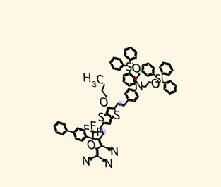 CCCCOc1c(/C=C/c2ccc(N(CCO[Si](c3ccccc3)(c3ccccc3)c3ccccc3)CCO[Si](c3ccccc3)(c3ccccc3)c3ccccc3)cc2)sc2cc(/C=C/C3=C(C#N)C(=C(C#N)C#N)OC3(c3ccc(-c4ccccc4)cc3)C(F)(F)F)sc12